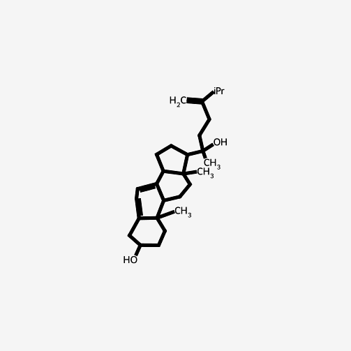 C=C(CCC(C)(O)C1CCC2C3=CC=C4CC(O)CCC4(C)C3CCC21C)C(C)C